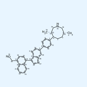 C[C@@H]1CCC(c2ccc(-c3cnc4c(-c5ccc(CO)c6ccccc56)cnn4c3)cc2)[C@H](C)CNC1